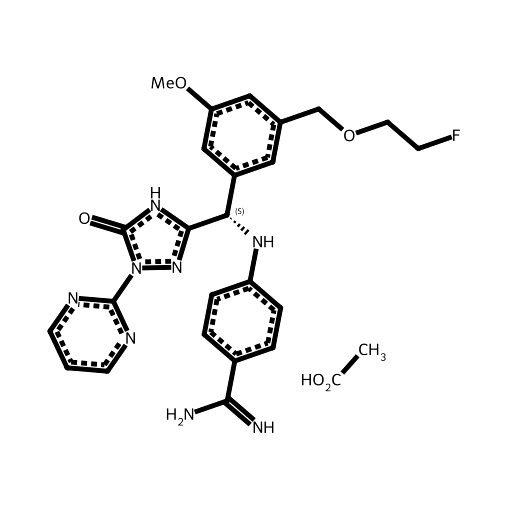 CC(=O)O.COc1cc(COCCF)cc([C@H](Nc2ccc(C(=N)N)cc2)c2nn(-c3ncccn3)c(=O)[nH]2)c1